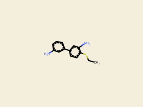 CCSc1ccc(-c2cccc(N)c2)cc1N